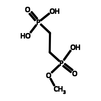 COP(=O)(O)CCP(=O)(O)O